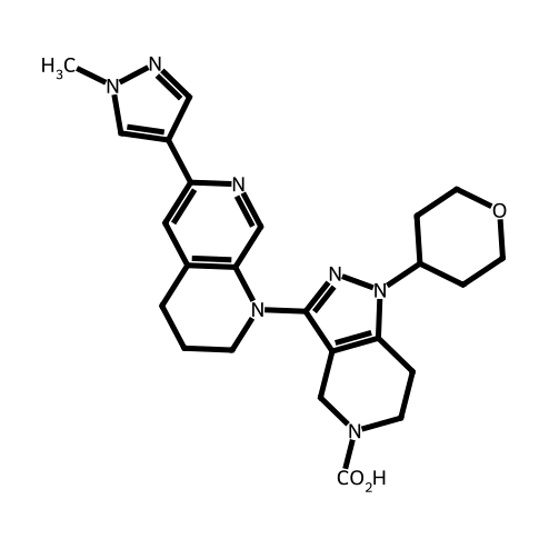 Cn1cc(-c2cc3c(cn2)N(c2nn(C4CCOCC4)c4c2CN(C(=O)O)CC4)CCC3)cn1